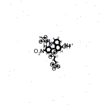 CS(=O)(=O)N/N=N/c1cccc2c(O)ccc(-c3ccc([N+](=O)[O-])cc3S(=O)(=O)CCCS(=O)(=O)[O-])c12.[Na+]